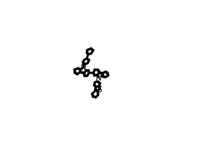 c1ccc(-c2ccc(-n3c4ccccc4c4ccc(-c5ccc6c7ccccc7n(-c7ccc8c(c7)sc7ccccc78)c6c5)cc43)cc2)cc1